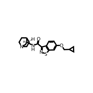 O=C(N[C@H]1CN2CCC1CC2)c1nsc2cc(OCC3CC3)ccc12